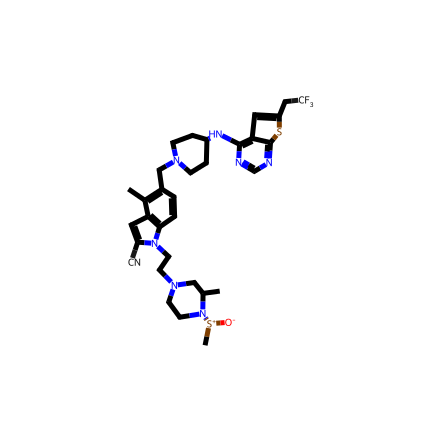 Cc1c(CN2CCC(Nc3ncnc4sc(CC(F)(F)F)cc34)CC2)ccc2c1cc(C#N)n2CCN1CCN([S+](C)[O-])C(C)C1